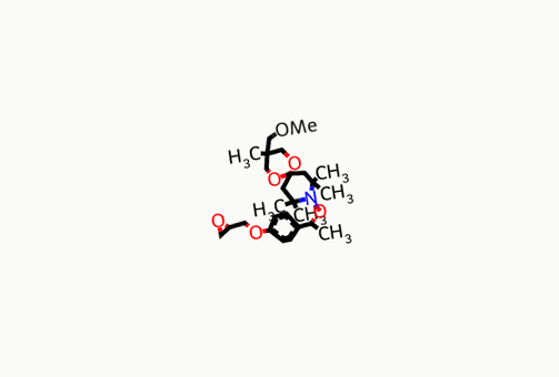 COCC1(C)COC2(CC(C)(C)N(OC(C)c3ccc(OCC4CO4)cc3)C(C)(C)C2)OC1